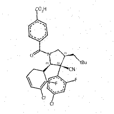 CC(C)(C)C[C@@H]1CN(C(=O)c2ccc(C(=O)O)cc2)[C@H](C2CC=CC(Cl)=C2F)[C@@]1(C#N)c1ccc(Cl)cc1F